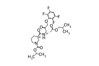 CC(C)COC(=O)C[C@H](NC(=O)[C@@H]1CCCN(C(=O)OC(C)C)C1)C(=O)COc1c(F)c(F)cc(F)c1F